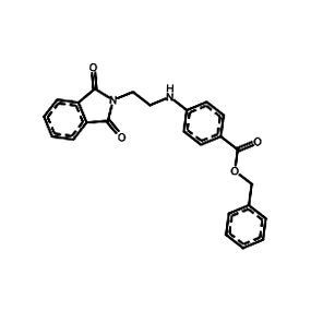 O=C(OCc1ccccc1)c1ccc(NCCN2C(=O)c3ccccc3C2=O)cc1